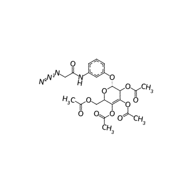 CC(=O)OCC1O[C@H](Oc2cccc(NC(=O)CN=[N+]=[N-])c2)C(OC(C)=O)C(OC(C)=O)=C1OC(C)=O